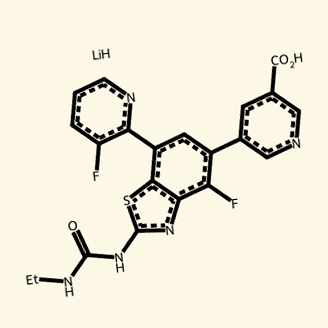 CCNC(=O)Nc1nc2c(F)c(-c3cncc(C(=O)O)c3)cc(-c3ncccc3F)c2s1.[LiH]